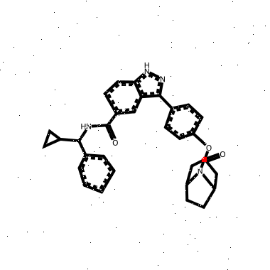 O=CN1C2CCC1CC(Oc1ccc(-c3n[nH]c4ccc(C(=O)NC(c5ccccc5)C5CC5)cc34)cc1)C2